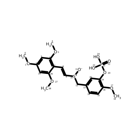 COc1cc(OC)c(/C=C/[S+]([O-])Cc2ccc(OC)c(OP(=O)(O)O)c2)c(OC)c1